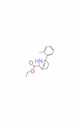 CCOC(=O)C1NC2(c3ccccc3C)C=CC1CC2